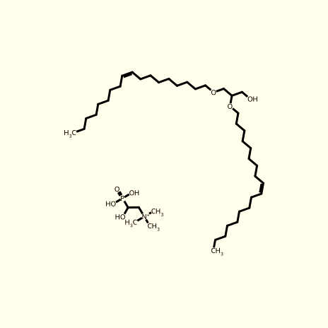 CCCCCCCC/C=C\CCCCCCCCOCC(CO)OCCCCCCCC/C=C\CCCCCCCC.C[N+](C)(C)CC(O)P(=O)(O)O